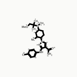 COCC(C)(C)N(C)C1CCC(n2cc(C(N)=O)c(Nc3ccc(Cl)cc3)n2)C(C#N)C1